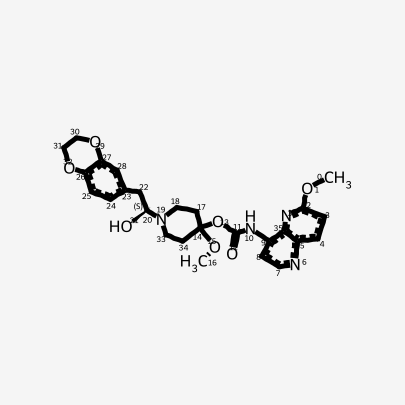 COc1ccc2nccc(NC(=O)OC3(OC)CCN([C@@H](O)Cc4ccc5c(c4)OCCO5)CC3)c2n1